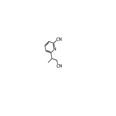 CC(CC#N)c1cccc(C#N)n1